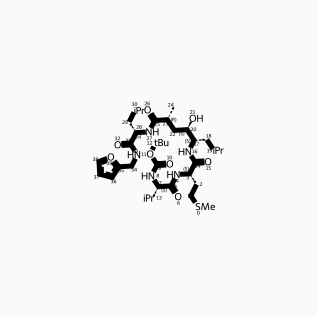 CSCC[C@H](NC(=O)[C@@H](NC(=O)OC(C)(C)C)C(C)C)C(=O)N[C@@H](CC(C)C)[C@@H](O)C[C@@H](C)C(=O)N[C@@H](CC(C)C)C(=O)NCc1ccco1